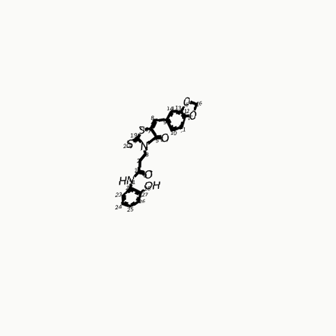 O=C(CCN1C(=O)/C(=C\c2ccc3c(c2)OCO3)SC1=S)Nc1ccccc1O